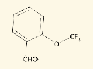 O=[C]c1ccccc1OC(F)(F)F